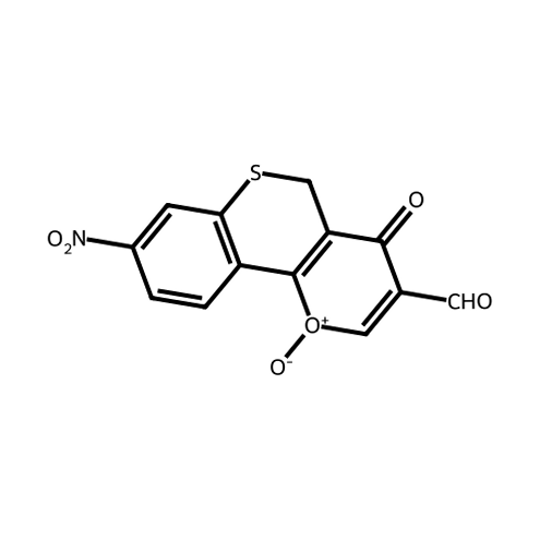 O=Cc1c[o+]([O-])c2c(c1=O)CSc1cc([N+](=O)[O-])ccc1-2